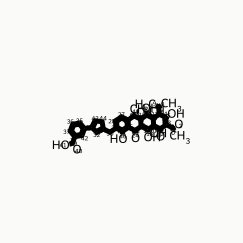 CC(=O)C1=C(O)C(C(C)C)[C@@]2(C)[C@H](O)[C@]3(C)C(=C(O)[C@@]2(O)C1=O)C(=O)c1c(ccc(CC2=CC(c4cccc(C(=O)O)c4)=CC2)c1O)[C@H]3C